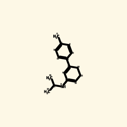 Cc1ccc(C2=CC(NC(C)C)=CC[CH]2)cc1